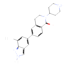 Cc1cc(-c2ccc3c(c2)CCN(C2CCNCC2)C3=O)cc2cn(C)nc12